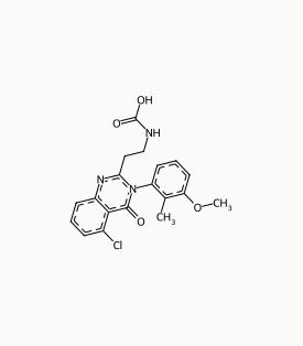 COc1cccc(-n2c(CCNC(=O)O)nc3cccc(Cl)c3c2=O)c1C